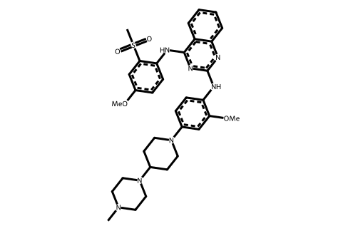 COc1ccc(Nc2nc(Nc3ccc(N4CCC(N5CCN(C)CC5)CC4)cc3OC)nc3ccccc23)c(S(C)(=O)=O)c1